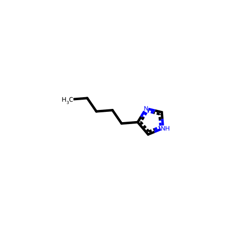 CCCCCc1c[nH]cn1